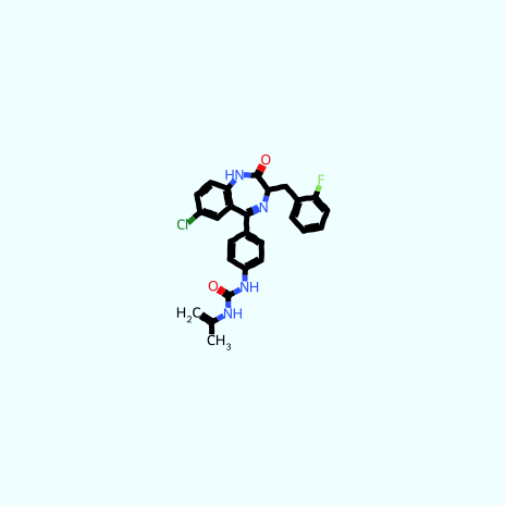 C=C(C)NC(=O)Nc1ccc(C2=NC(Cc3ccccc3F)C(=O)Nc3ccc(Cl)cc32)cc1